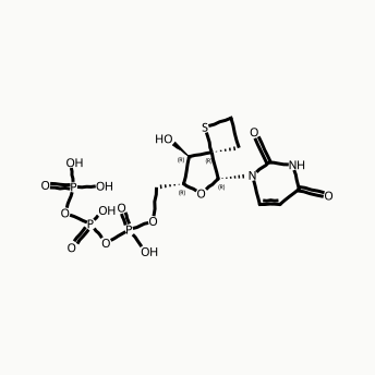 O=c1ccn([C@@H]2O[C@H](COP(=O)(O)OP(=O)(O)OP(=O)(O)O)[C@@H](O)[C@]23CCS3)c(=O)[nH]1